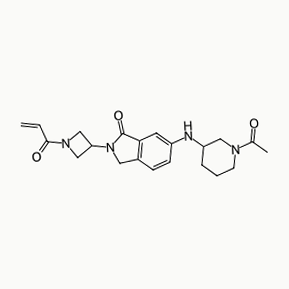 C=CC(=O)N1CC(N2Cc3ccc(NC4CCCN(C(C)=O)C4)cc3C2=O)C1